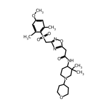 COc1cc(C)c(S(=O)(=O)Cc2noc(CC(=O)NC3CCN(C4CCOCC4)CC3(C)C)n2)c(C)c1